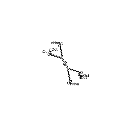 CCCCCCCCCC(=O)OCCCCCCCN(CCCCCCCC(=O)OC(CCCCCCCC)CCCCCCCC)CCN1CCN(CCN(CCCCCCCOC(=O)CCCCCCCCC)CCCCCCCC(=O)OC(CCCCCCCC)CCCCCCCC)CC1